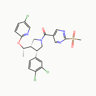 C[C@H](Oc1ccc(Cl)cn1)[C@@H]1CN(C(=O)c2cnc(S(C)(=O)=O)nc2)C[C@@H]1c1ccc(Cl)c(Cl)c1